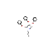 CC(=O)NC1CN(CCCCC(=O)O)C(COC(=O)c2ccccc2)[C@H](OC(=O)c2ccccc2)[C@@H]1OC(=O)c1ccccc1